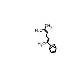 CC(C)=CC/C=C(\C)C1CC2C=CC1C2